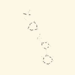 CC(C)S(=O)(=O)Nc1ccc(CNc2nnc(-c3ccccc3)s2)cc1